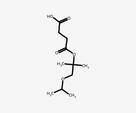 CC(C)OCC(C)(C)OC(=O)CCC(=O)O